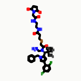 CC(C)(C)[C@H](c1cc(-c2cc(F)ccc2F)cn1Cc1ccccc1)N(CN)C(=O)CSCCC(=O)NCCNC(=O)CN1C(=O)C=CC1=O